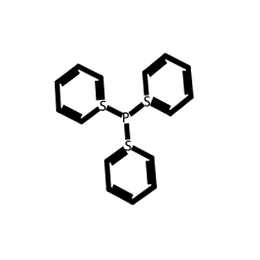 C1=CC=S(P(S2=CC=CC=C2)S2=CC=CC=C2)C=C1